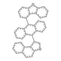 c1ccc2c(c1)ccc1occ(-c3c4ccccc4c(-c4cccc5oc6ccccc6c45)c4ccccc34)c12